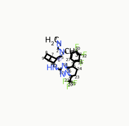 C=NCN(C)/C=C1\C2CCC2[C@H]1Nc1nc2n(n1)C(C(F)(F)F)CCC2c1ccc(F)c(F)c1F